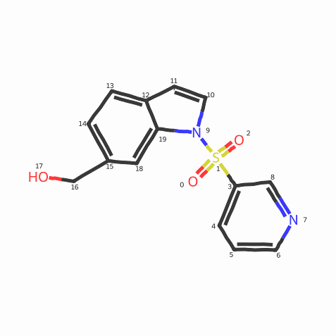 O=S(=O)(c1cccnc1)n1c[c]c2ccc(CO)cc21